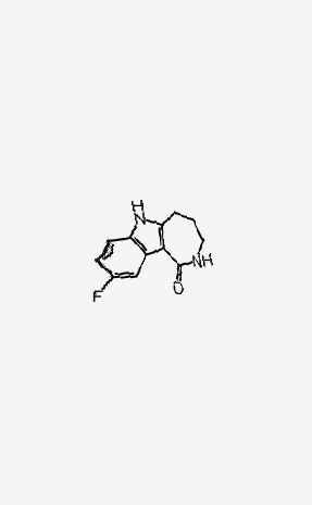 O=C1NCCCc2[nH]c3ccc(F)cc3c21